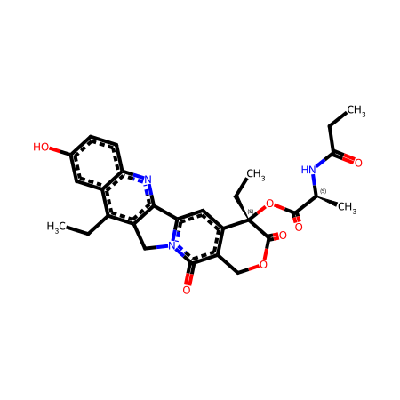 CCC(=O)N[C@@H](C)C(=O)O[C@]1(CC)C(=O)OCc2c1cc1n(c2=O)Cc2c-1nc1ccc(O)cc1c2CC